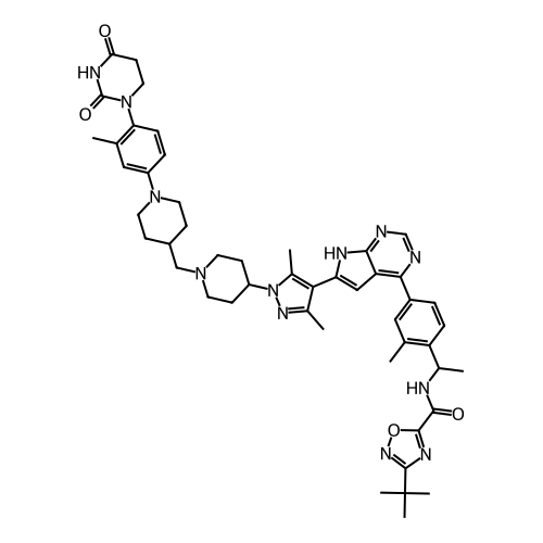 Cc1cc(-c2ncnc3[nH]c(-c4c(C)nn(C5CCN(CC6CCN(c7ccc(N8CCC(=O)NC8=O)c(C)c7)CC6)CC5)c4C)cc23)ccc1C(C)NC(=O)c1nc(C(C)(C)C)no1